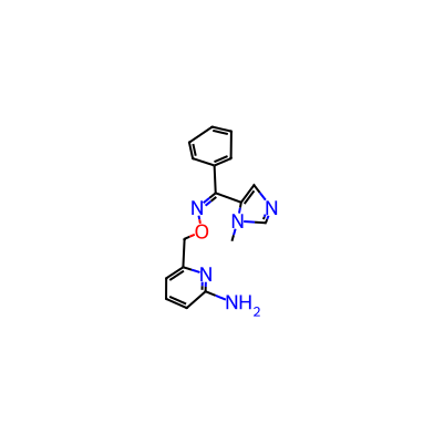 Cn1cncc1C(=NOCc1cccc(N)n1)c1ccccc1